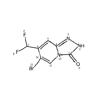 O=c1[nH]nc2cc(C(F)F)c(Br)cn12